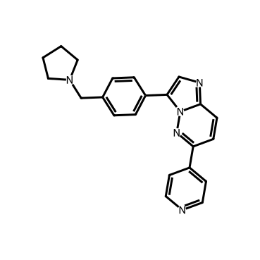 c1cc(-c2ccc3ncc(-c4ccc(CN5CCCC5)cc4)n3n2)ccn1